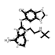 CC(C)(C)NCCn1c(Sc2cc3c(cc2Cl)OCO3)nc2c(N)nccc21